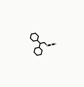 O=C=NCC(C1CCCCC1)C1CCCCC1